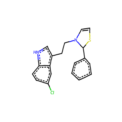 Clc1ccc2[nH]cc(CCN3C=CSC3c3ccccc3)c2c1